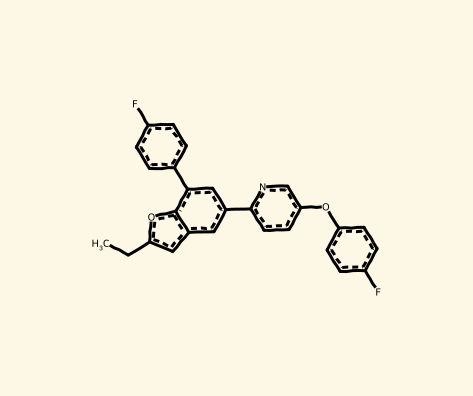 CCc1cc2cc(-c3ccc(Oc4ccc(F)cc4)cn3)cc(-c3ccc(F)cc3)c2o1